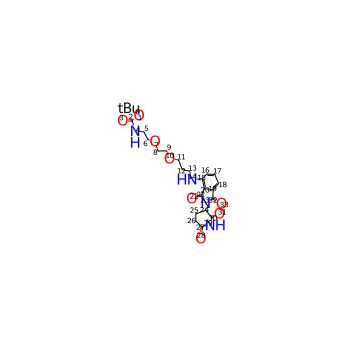 CC(C)(C)OC(=O)NCCOCCOCCCNc1cccc2c1C(=O)N(C1CCC(=O)NC1=O)C2=O